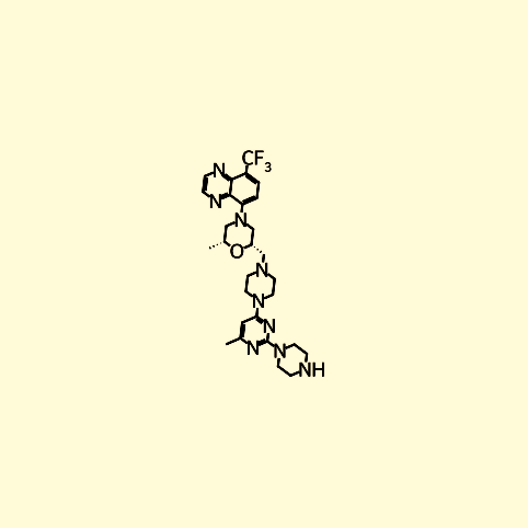 Cc1cc(N2CCN(C[C@H]3CN(c4ccc(C(F)(F)F)c5nccnc45)C[C@@H](C)O3)CC2)nc(N2CCNCC2)n1